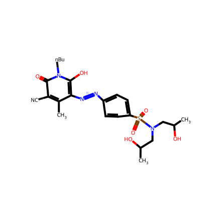 CCCCn1c(O)c(/N=N/c2ccc(S(=O)(=O)N(CC(C)O)CC(C)O)cc2)c(C)c(C#N)c1=O